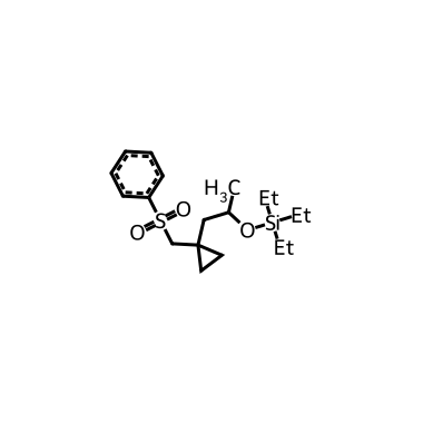 CC[Si](CC)(CC)OC(C)CC1(CS(=O)(=O)c2ccccc2)CC1